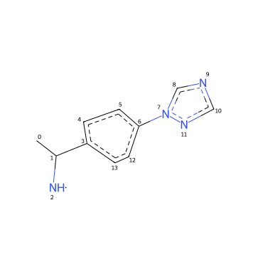 CC([NH])c1ccc(-n2cncn2)cc1